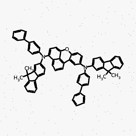 CC1(C)c2ccccc2-c2ccc(N(c3ccc(-c4ccccc4)cc3)c3ccc4c(c3)-c3cccc5c(N(c6ccc(-c7ccccc7)cc6)c6ccc7c(c6)C(C)(C)c6ccccc6-7)ccc(c35)O4)cc21